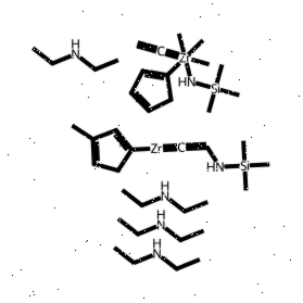 C=[C]=[Zr]([CH3])([CH3])([CH3])([NH][Si](C)(C)C)[C]1=CC=CC1.CC1=CC[C]([Zr]=[C]=CN[Si](C)(C)C)=C1.CCNCC.CCNCC.CCNCC.CCNCC